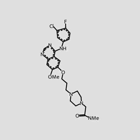 CNC(=O)CN1CCN(CCCOc2cc3c(Nc4ccc(F)c(Cl)c4)ncnc3cc2OC)CC1